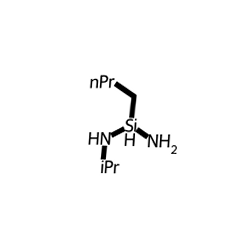 CCCC[SiH](N)NC(C)C